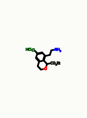 CCOC(=O)C1OCCc2cc(Cl)cc(CCN)c21.Cl